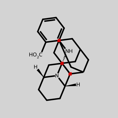 O=C(O)c1ccccc1N[C@H]1C[C@H]2CCC[C@@H](C1)N2C12CC3CC(CC(C3)C1)C2